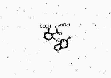 Brc1ccc2sccc2c1.CCCCCCCCOC(=O)c1c(CCCCCCCC)cccc1C(=O)O